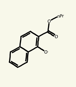 CCCOC(=O)c1ccc2ccccc2c1[O]